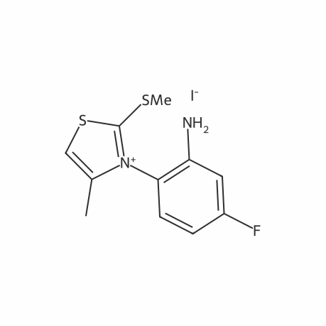 CSc1scc(C)[n+]1-c1ccc(F)cc1N.[I-]